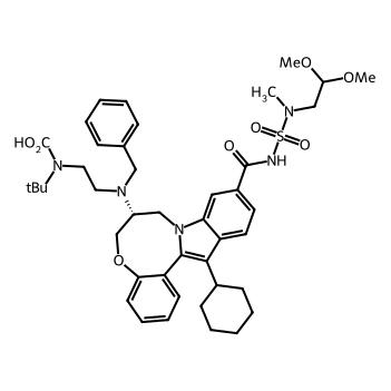 COC(CN(C)S(=O)(=O)NC(=O)c1ccc2c(C3CCCCC3)c3n(c2c1)C[C@@H](N(CCN(C(=O)O)C(C)(C)C)Cc1ccccc1)COc1ccccc1-3)OC